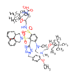 COc1ccc(Cn2nnc(-c3c(N(C)CCN(C)CCO[Si](C)(C)C(C)(C)C)ccc(S(=O)(=O)NCC(CNC(=O)O)O[Si](C)(C)C(C)(C)C)c3S(=O)(=O)N(Cc3ccccc3)Cc3ccccc3)n2)cc1